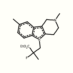 CCOC(=O)C(C)(F)Cn1c2c(c3cc(C)ccc31)CN(C)CC2